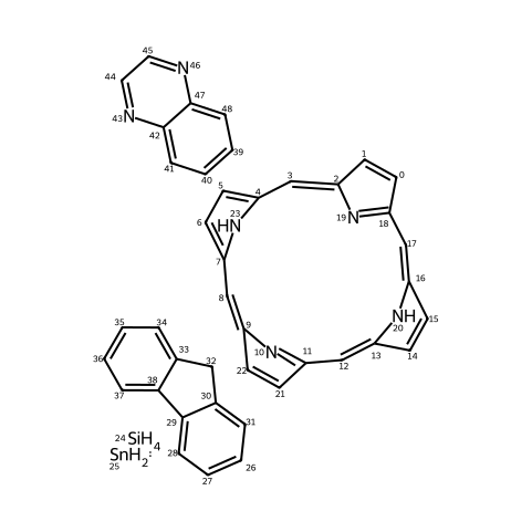 C1=Cc2cc3ccc(cc4nc(cc5ccc(cc1n2)[nH]5)C=C4)[nH]3.[SiH4].[SnH2].c1ccc2c(c1)Cc1ccccc1-2.c1ccc2nccnc2c1